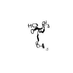 COCCN1CCN(C)C1C(=O)O